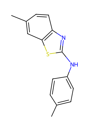 Cc1ccc(Nc2nc3ccc(C)cc3s2)cc1